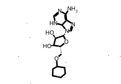 NC1=C2N=CN([C@@H]3O[C@H](COC4CCCCC4)[C@@H](O)[C@H]3O)C2NC=N1